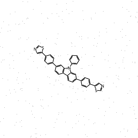 c1ccc(-n2c3cc(-c4ccc(-c5cncs5)cc4)ccc3c3ccc(-c4ccc(-c5cncs5)cc4)cc32)cc1